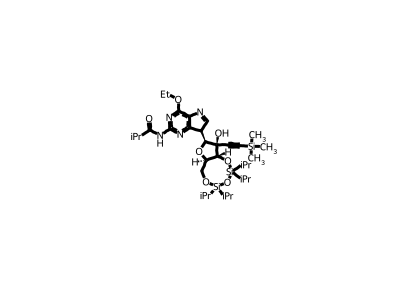 CCOc1nc(NC(=O)C(C)C)nc2c1N=CC2[C@@H]1O[C@@H]2CO[Si](C(C)C)(C(C)C)O[Si](C(C)C)(C(C)C)O[C@H]2[C@@]1(O)C#C[Si](C)(C)C